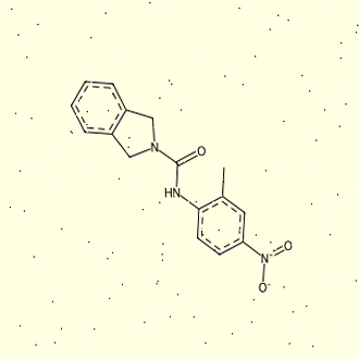 Cc1cc([N+](=O)[O-])ccc1NC(=O)N1Cc2ccccc2C1